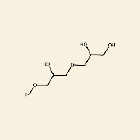 CCOCC(O)COCC(O)CO